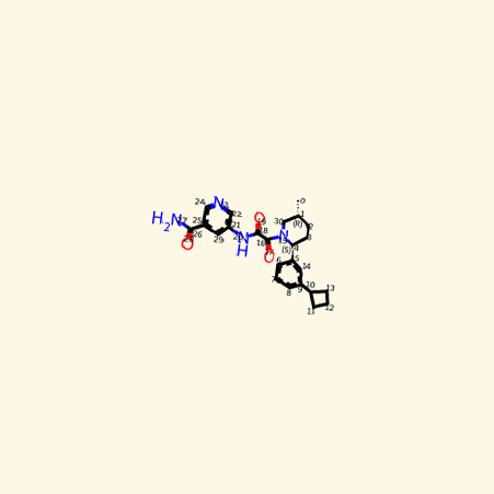 C[C@@H]1CC[C@@H](c2cccc(C3CCC3)c2)N(C(=O)C(=O)Nc2cncc(C(N)=O)c2)C1